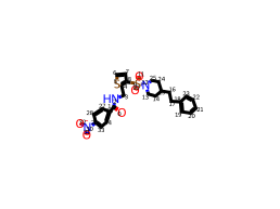 O=C(NCc1sccc1S(=O)(=O)N1CCC(CCc2ccccc2)CC1)c1ccc([N+](=O)[O-])cc1